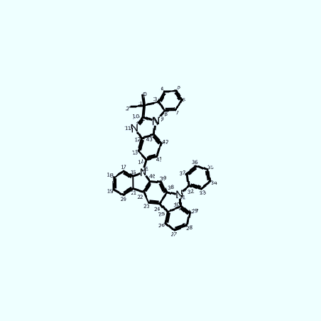 CC1(C)c2ccccc2-n2c1nc1cc(-n3c4ccccc4c4cc5c6ccccc6n(-c6ccccc6)c5cc43)ccc12